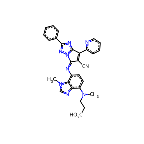 CN(CCC(=O)O)c1ccc(/N=C2\C(C#N)=C(c3ccccn3)c3nc(-c4ccccc4)nn32)c2c1ncn2C